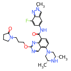 C[C@@H]1CN(c2ccc(C(=O)Nc3cc(F)c4nn(C)cc4c3)c3nc(OCCCN4CCCC4=O)ncc23)C[C@H](C)N1